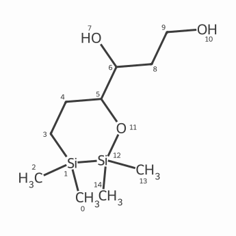 C[Si]1(C)CCC(C(O)CCO)O[Si]1(C)C